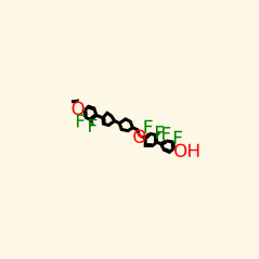 CCOc1ccc(C2=CCC(C3CCC(COc4ccc(-c5ccc(O)c(F)c5F)c(F)c4F)CC3)CC2)c(F)c1F